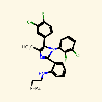 CC(=O)NCCNc1ccccc1-c1nc(C(=O)O)c(-c2ccc(F)c(Cl)c2)n1-c1cccc(Cl)c1F